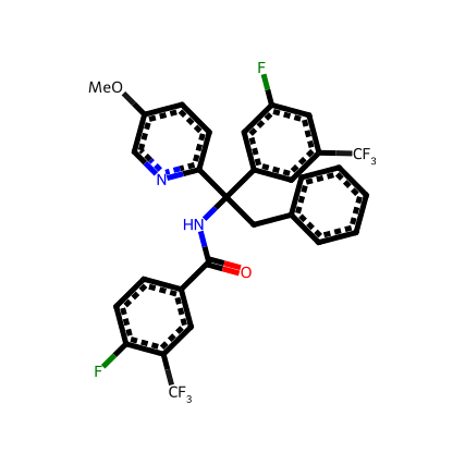 COc1ccc(C(Cc2ccccc2)(NC(=O)c2ccc(F)c(C(F)(F)F)c2)c2cc(F)cc(C(F)(F)F)c2)nc1